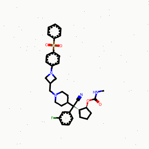 CNC(=O)O[C@H]1CCC[C@@H]1C(C#N)(c1cccc(F)c1)C1CCN(CC2CN(c3ccc(S(=O)(=O)c4ccccc4)cc3)C2)CC1